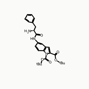 CC(C)(C)OC(=O)c1cc2cc(NC(=O)[C@@H](N)Cc3ccccc3)ccc2n1C(=O)OC(C)(C)C